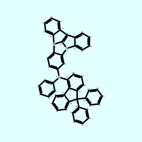 c1ccc(N(c2ccc3c(c2)n2c4ccccc4c4c5ccccc5n3c42)c2cccc3c2-c2ccccc2C3(c2ccccc2)c2ccccc2)cc1